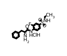 CCNS(=O)(=O)c1ccc(NC(=O)[C@@H](N)Cc2ccccc2)c(F)c1.Cl